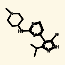 CC(C)c1n[nH]c(Br)c1-c1ccnc(NC2CCN(C)CC2)n1